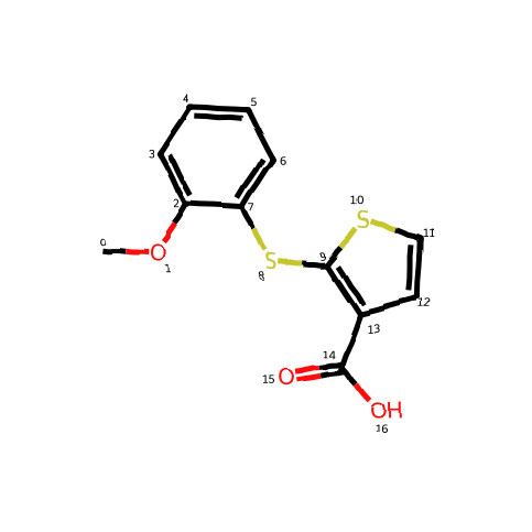 COc1ccccc1Sc1sccc1C(=O)O